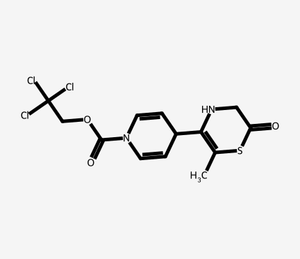 CC1=C(C2C=CN(C(=O)OCC(Cl)(Cl)Cl)C=C2)NCC(=O)S1